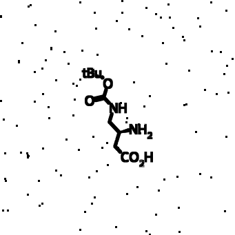 CC(C)(C)OC(=O)NC[C@@H](N)CC(=O)O